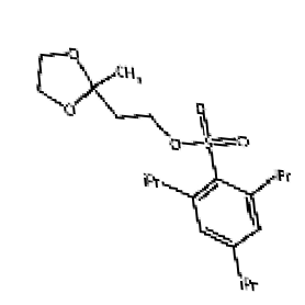 CC(C)c1cc(C(C)C)c(S(=O)(=O)OCCC2(C)OCCO2)c(C(C)C)c1